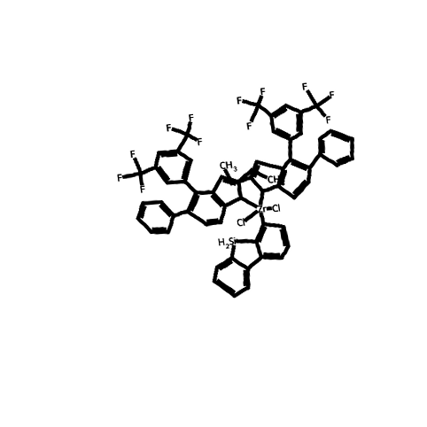 CCC1=Cc2c(ccc(-c3ccccc3)c2-c2cc(C(F)(F)F)cc(C(F)(F)F)c2)[CH]1[Zr]([Cl])([Cl])([c]1cccc2c1[SiH2]c1ccccc1-2)[CH]1C(CC)=Cc2c1ccc(-c1ccccc1)c2-c1cc(C(F)(F)F)cc(C(F)(F)F)c1